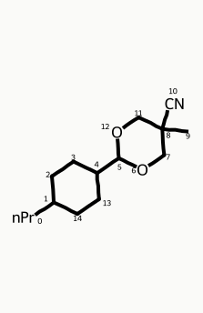 CCCC1CCC(C2OCC(C)(C#N)CO2)CC1